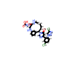 O=C(O)NC[C@H]1Nc2cccc(c2)[C@@H](n2cnc(-c3cc(Cl)ccc3-n3cc(Cl)nn3)cc2=O)CCCCCNC1=O